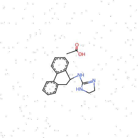 CC(=O)O.c1ccc2c(c1)CC(NC1=NCCN1)c1ccccc1-2